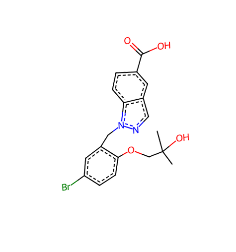 CC(C)(O)COc1ccc(Br)cc1Cn1ncc2cc(C(=O)O)ccc21